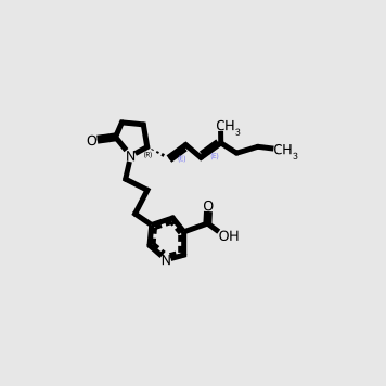 CCC/C(C)=C/C=C/[C@H]1CCC(=O)N1CCCc1cncc(C(=O)O)c1